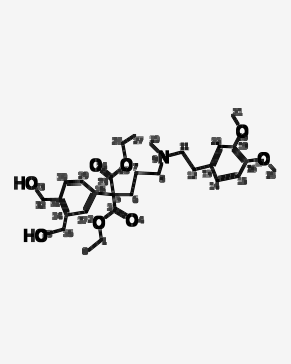 CCOC(=O)C(CCCN(C)CCc1ccc(OC)c(OC)c1)(C(=O)OCC)c1ccc(CO)c(CO)c1